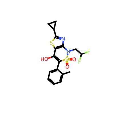 Cc1ccccc1C1=C(O)c2sc(C3CC3)nc2N(CC(F)F)S1(=O)=O